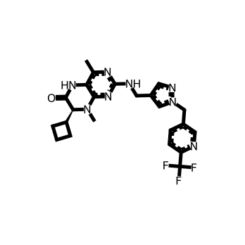 Cc1nc(NCc2cnn(Cc3ccc(C(F)(F)F)nc3)c2)nc2c1NC(=O)[C@H](C1CCC1)N2C